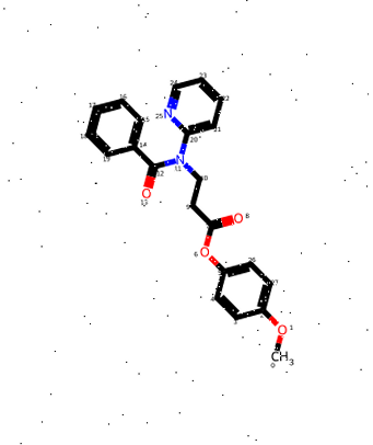 COc1ccc(OC(=O)CCN(C(=O)C2=CC=C=C=C2)c2ccccn2)cc1